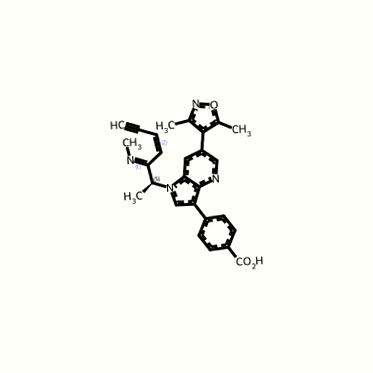 C#C/C=C\C(=N/C)[C@H](C)n1cc(-c2ccc(C(=O)O)cc2)c2ncc(-c3c(C)noc3C)cc21